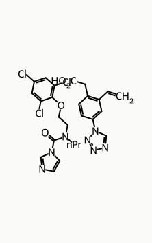 C=Cc1cc(-n2cnnn2)ccc1CC(=O)O.CCCN(CCOc1c(Cl)cc(Cl)cc1Cl)C(=O)n1ccnc1